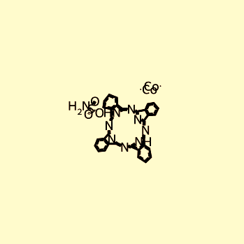 NS(=O)(=O)Oc1cccc2c3nc4nc(nc5[nH]c(nc6nc(nc([nH]3)c12)-c1ccccc1-6)c1ccccc51)-c1ccccc1-4.[Co].[Co]